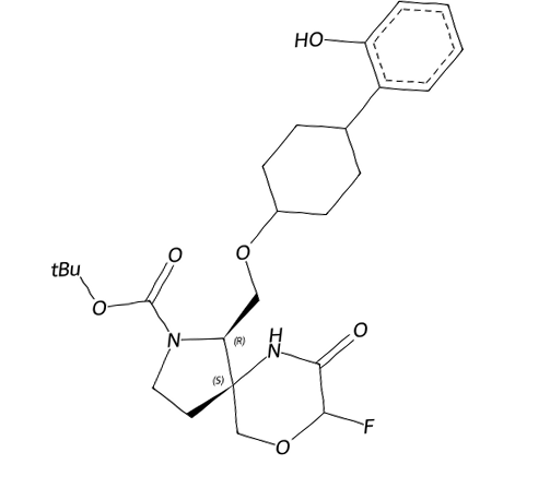 CC(C)(C)OC(=O)N1CC[C@@]2(COC(F)C(=O)N2)[C@@H]1COC1CCC(c2ccccc2O)CC1